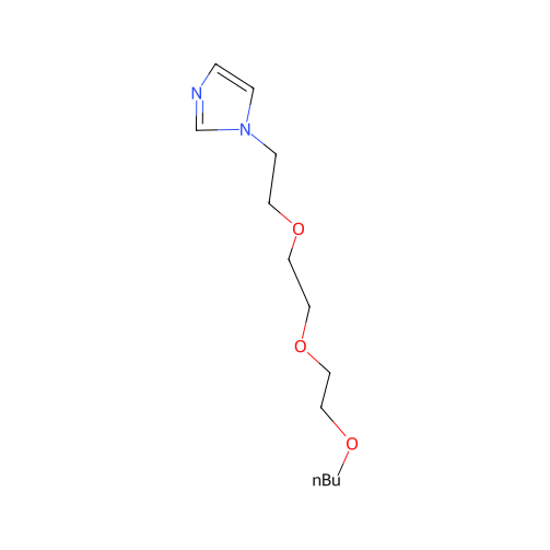 CCCCOCCOCCOCCn1ccnc1